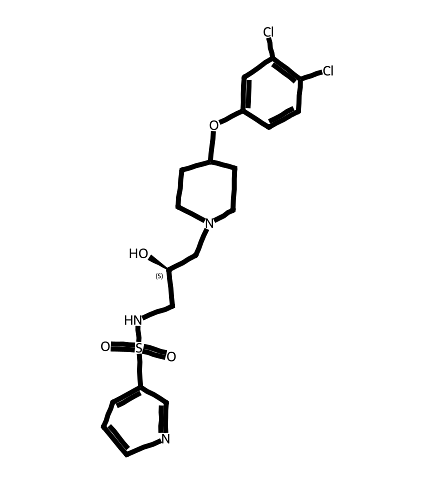 O=S(=O)(NC[C@@H](O)CN1CCC(Oc2ccc(Cl)c(Cl)c2)CC1)c1cccnc1